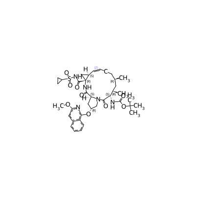 COc1cc2ccccc2c(O[C@@H]2C[C@H]3C(=O)N[C@]4(C(=O)NS(=O)(=O)C5CC5)C[C@H]4/C=C\CC[C@@H](C)C[C@@H](C)[C@H](NC(=O)OC(C)(C)C)C(=O)N3C2)n1